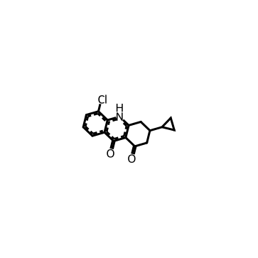 O=C1CC(C2CC2)Cc2[nH]c3c(Cl)cccc3c(=O)c21